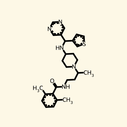 Cc1cccc(C)c1C(=O)NCCC(C)N1CCC(NC(c2cncnc2)c2ccsc2)CC1